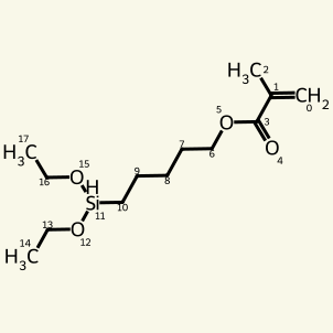 C=C(C)C(=O)OCCCCC[SiH](OCC)OCC